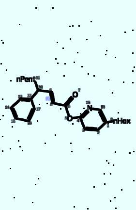 CCCCCCc1ccc(OC(=O)/C=C/C(CCCCC)c2ccccc2)nc1